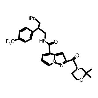 CC(C)CC(CNC(=O)c1cccn2nc(C(=O)N3CCOC(C)(C)C3)cc12)c1ccc(C(F)(F)F)cc1